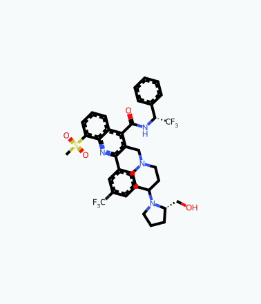 CS(=O)(=O)c1cccc2c(C(=O)N[C@H](c3ccccc3)C(F)(F)F)c(CN3CCC(N4CCC[C@H]4CO)CC3)c(-c3cccc(C(F)(F)F)c3)nc12